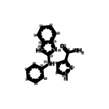 NC(=O)c1cc[nH]n1.c1ccc(Nc2nc3ccccc3[nH]2)cc1